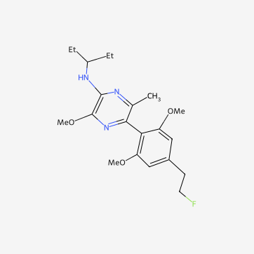 CCC(CC)Nc1nc(C)c(-c2c(OC)cc(CCF)cc2OC)nc1OC